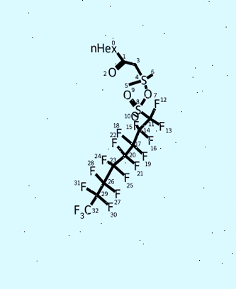 CCCCCCC(=O)CS(C)(C)OS(=O)(=O)C(F)(F)C(F)(F)C(F)(F)C(F)(F)C(F)(F)C(F)(F)C(F)(F)C(F)(F)F